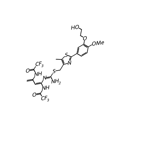 C=C(/C=C(\N=C(/N)SCc1nc(-c2ccc(OC)c(OCCO)c2)sc1C)NC(=O)C(F)(F)F)NC(=O)C(F)(F)F